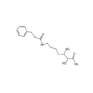 NC(=O)C(O)C(N)CCCCNC(=O)OCc1ccccc1